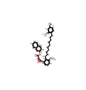 Cc1ccc(CCCCCCCCCCc2c(C3OC3C(=O)Oc3ccc4ccccc4c3)cccc2[N+](=O)[O-])c(C)c1